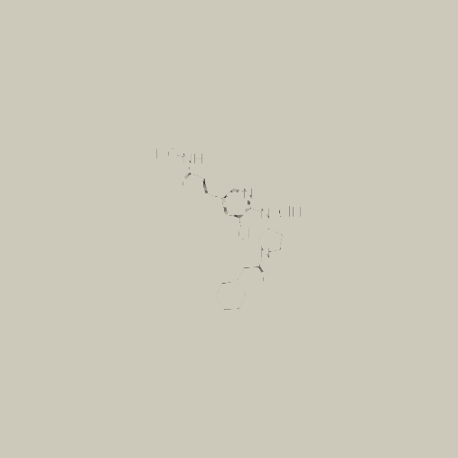 Cl.O=C(/C=C/c1cnc(N[C@@H]2CCN(C(=O)CC3CCCCC3)C2)c(Cl)c1)NO